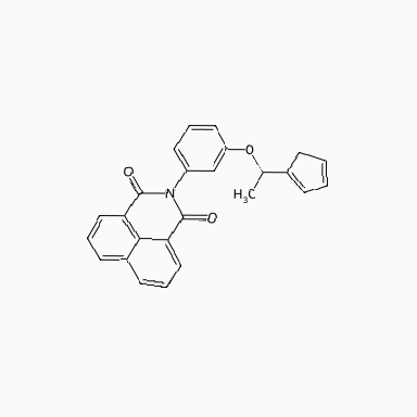 CC(Oc1cccc(N2C(=O)c3cccc4cccc(c34)C2=O)c1)C1=CC=CC1